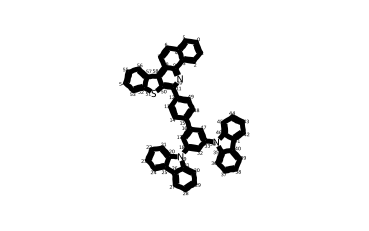 c1ccc2c(c1)ccc1c2nc(-c2ccc(-c3cc(-n4c5ccccc5c5ccccc54)cc(-n4c5ccccc5c5ccccc54)c3)cc2)c2sc3ccccc3c21